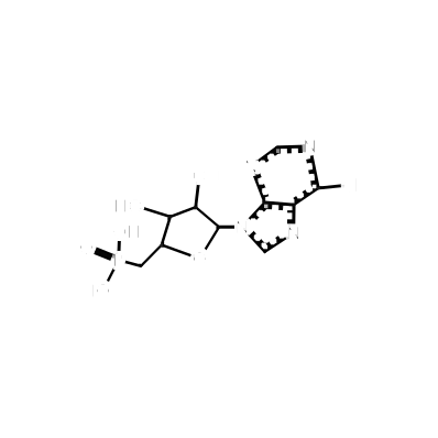 O=P(O)(O)CC1OC(n2cnc3c(Cl)ncnc32)C(O)C1O